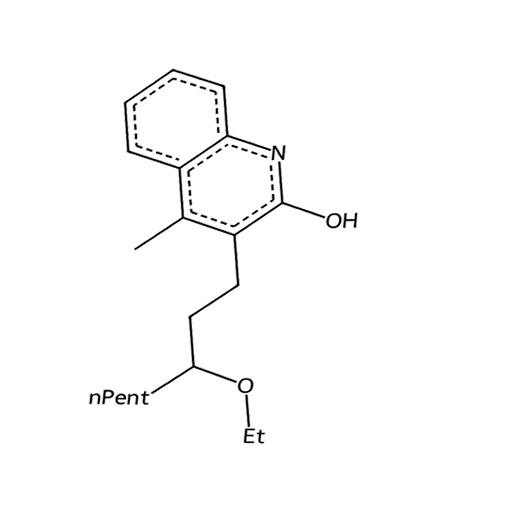 CCCCCC(CCc1c(O)nc2ccccc2c1C)OCC